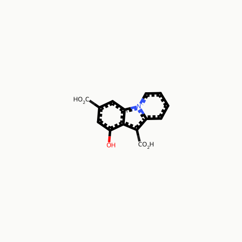 O=C(O)c1cc(O)c2c(C(=O)O)c3ccccn3c2c1